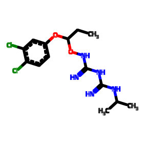 CCC(ONC(=N)NC(=N)NC(C)C)Oc1ccc(Cl)c(Cl)c1